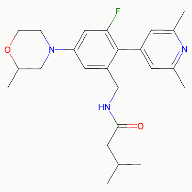 Cc1cc(-c2c(F)cc(N3CCOC(C)C3)cc2CNC(=O)CC(C)C)cc(C)n1